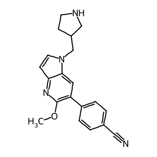 COc1nc2ccn(CC3CCNC3)c2cc1-c1ccc(C#N)cc1